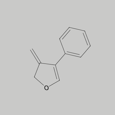 C=C1COC=C1c1ccccc1